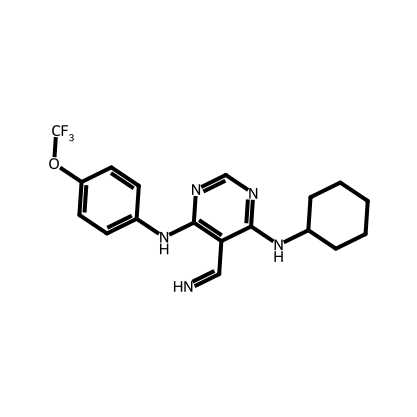 N=Cc1c(Nc2ccc(OC(F)(F)F)cc2)ncnc1NC1CCCCC1